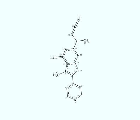 Cc1c(-c2ccncc2)sc2nc(C(C)N=[N+]=[N-])cc(=O)n12